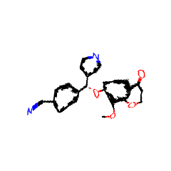 COc1c(O[C@@H](c2ccncc2)c2ccc(C#N)cc2)ccc2c1OCCC2=O